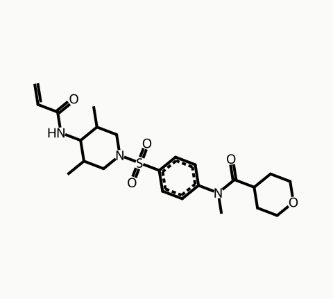 C=CC(=O)NC1C(C)CN(S(=O)(=O)c2ccc(N(C)C(=O)C3CCOCC3)cc2)CC1C